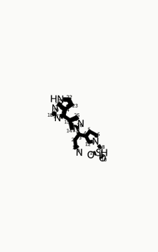 N#CCC(C1CCN(C[SH](=O)=O)C1)n1cc(-c2ncnc3[nH]ccc23)cn1